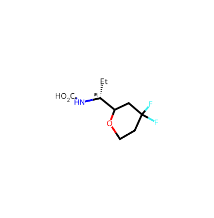 CC[C@@H](NC(=O)O)C1CC(F)(F)CCO1